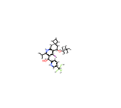 CC(C)c1nc2c(c(I)c1C(O)c1ccc(C(F)(F)F)cn1)C(O[Si](C)(C)C(C)(C)C)CC1(CCC1)C2